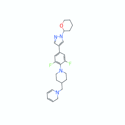 Fc1cc(-c2cnn(C3CCCCO3)c2)cc(F)c1N1CCC(CN2C=CC=CC2)CC1